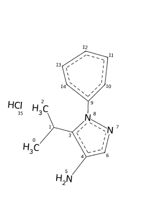 CC(C)c1c(N)cnn1-c1ccccc1.Cl